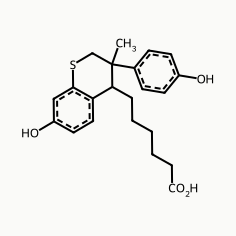 CC1(c2ccc(O)cc2)CSc2cc(O)ccc2C1CCCCCC(=O)O